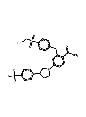 CCS(=O)(=O)c1ccc(Cc2cc(N3CCC(c4ccc(C(F)(F)F)cc4)C3)ccc2C(N)=O)cc1